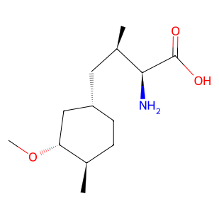 CO[C@@H]1C[C@H](C[C@@H](C)[C@H](N)C(=O)O)CC[C@H]1C